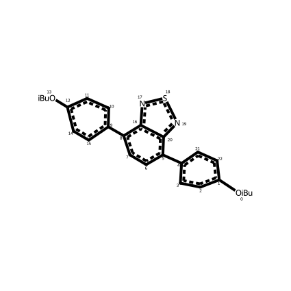 CC(C)COc1ccc(-c2ccc(-c3ccc(OCC(C)C)cc3)c3nsnc23)cc1